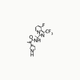 C[C@@H](C(=O)NC(C)(C)c1nc(C(F)(F)F)c2c(F)cccn12)[C@H]1CCNC1